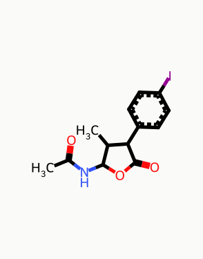 CC(=O)NC1OC(=O)C(c2ccc(I)cc2)C1C